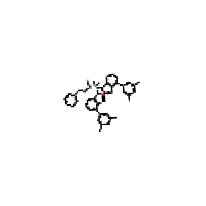 Cc1cc(C)cc(-c2cccc3c2C=C[CH]3[Hf]([CH3])([CH3])([CH]2C=Cc3c(-c4cc(C)cc(C)c4)cccc32)=[Si](C)CCc2ccccc2)c1